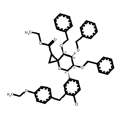 CCOC(=O)C1CC12O[C@@H](c1ccc(Cl)c(Cc3ccc(OCC)cc3)c1)[C@H](OCc1ccccc1)[C@@H](OCc1ccccc1)[C@@H]2OCc1ccccc1